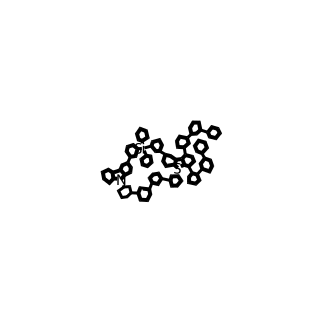 c1ccc(-c2cccc(-c3cccc(-c4ccc(-c5ccccc5-c5cccc(-c6ccccc6)c5)c5sc6ccc(-c7cccc([Si](c8ccccc8)(c8ccccc8)c8cccc(-c9ccc%10c(c9)c9ccccc9n%10C9CCCC(c%10cccc(-c%11cccc(-c%12ccccc%12)c%11)c%10)C9)c8)c7)cc6c45)c3)c2)cc1